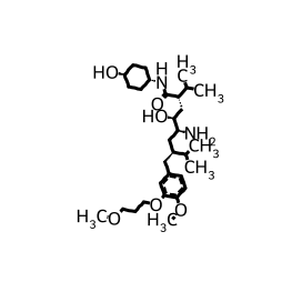 COCCCOc1cc(C[C@@H](C[C@H](N)[C@@H](O)C[C@H](C(=O)N[C@H]2CC[C@H](O)CC2)C(C)C)C(C)C)ccc1OC